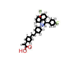 C=C(C(=O)O)c1ccc(C=Cc2ccc(N(C=C(c3ccc(F)cc3)c3ccc(F)cc3)c3ccccc3)cc2)cc1